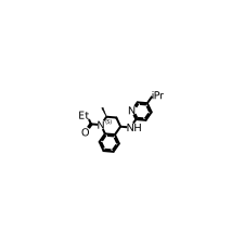 CCC(=O)N1c2ccccc2C(Nc2ccc(C(C)C)cn2)C[C@@H]1C